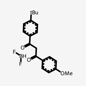 COc1ccc(C(=O)CC(=O)c2ccc(C(C)(C)C)cc2)cc1.FBF